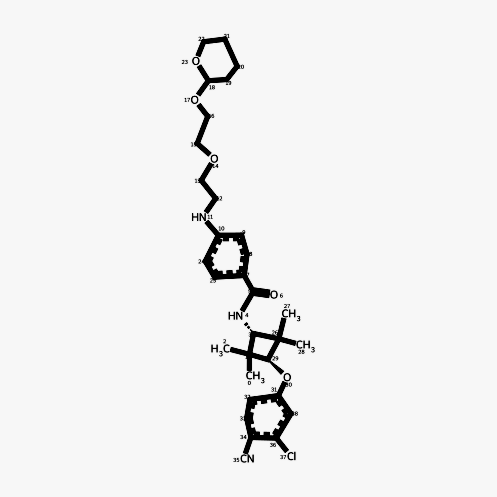 CC1(C)[C@H](NC(=O)c2ccc(NCCOCCOC3CCCCO3)cc2)C(C)(C)[C@H]1Oc1ccc(C#N)c(Cl)c1